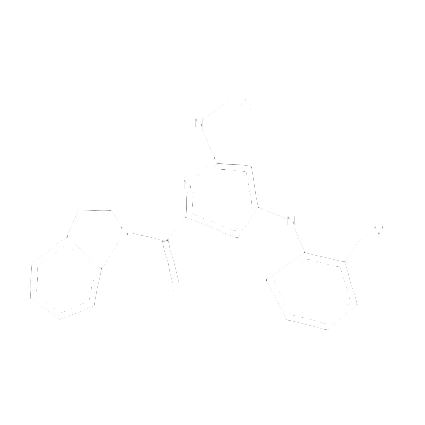 COc1ccccc1Nc1cc(NC(=O)O)nc(C(=O)N2CCc3ccccc32)c1